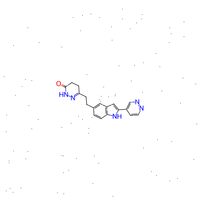 O=C1CCC(CCc2ccc3[nH]c(-c4ccnnc4)cc3c2)=NN1